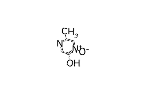 Cc1c[n+]([O-])c(O)cn1